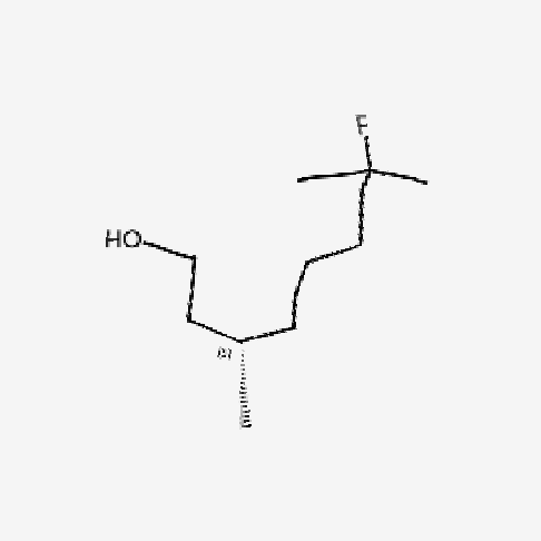 C[C@H](CCO)CCCC(C)(C)F